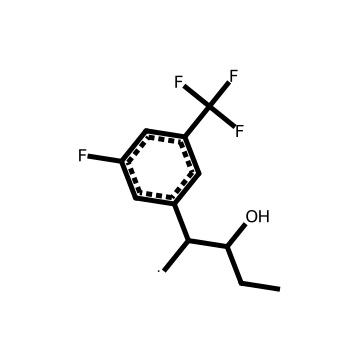 [CH2]C(c1cc(F)cc(C(F)(F)F)c1)C(O)CC